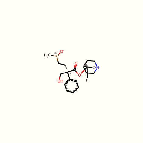 C[S@@+]([O-])CC[C@](CO)(C(=O)O[C@H]1CN2CCC1CC2)c1ccccc1